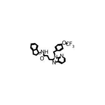 O=C(CCc1nc2cccnc2n1Cc1ccc(OC(F)(F)F)cc1)N[C@H]1CCc2ccccc21